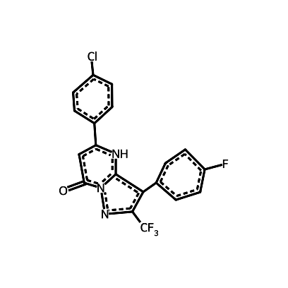 O=c1cc(-c2ccc(Cl)cc2)[nH]c2c(-c3ccc(F)cc3)c(C(F)(F)F)nn12